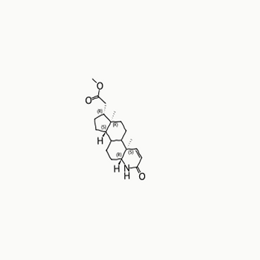 COC(=O)C[C@H]1CC[C@H]2C3CC[C@H]4NC(=O)C=C[C@]4(C)C3CC[C@]12C